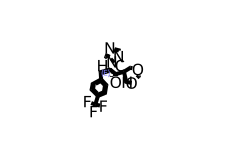 CC1(C(O)/C(=C\c2ccc(C(F)(F)F)cc2)n2cncn2)COCOC1